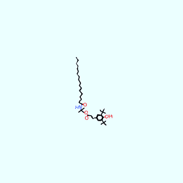 CCCCCCCCCCCCCCCCCC(=O)NC(C)(C)COC(=O)CCc1cc(C(C)(C)C)c(O)c(C(C)(C)C)c1